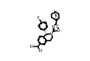 CCC(CC)c1ccc2c(c1)CCN(C1=N[C@@H](C34CCN(CC3)CC4)CO1)[C@H]2c1ccc(F)cc1